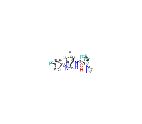 CCNCC(O)(CNc1cc(C)cc2c1cnn2-c1ccc(F)cc1)C(F)(F)F